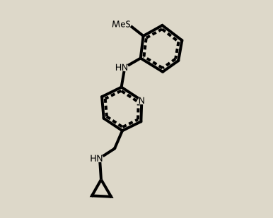 CSc1ccccc1Nc1ccc(CNC2CC2)cn1